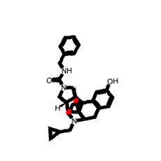 O=C(NCc1ccccc1)N1C[C@H]2CC34CCC1C2C31CCN(CC2CC2)C4Cc2ccc(O)cc21